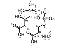 C[N+](C)(C)C[C@H](O)CC(=O)O.N[C@@H](COP(=O)(O)O)C(=O)O.[K+]